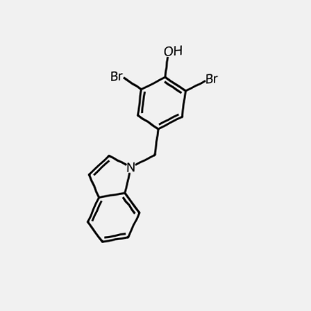 Oc1c(Br)cc(Cn2ccc3ccccc32)cc1Br